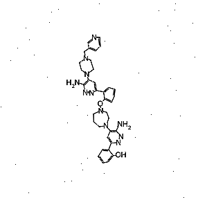 Nc1nnc(-c2ccccc2O)cc1N1CCCN(Oc2ccccc2-c2cc(N3CCN(Cc4cccnc4)CC3)c(N)nn2)CC1